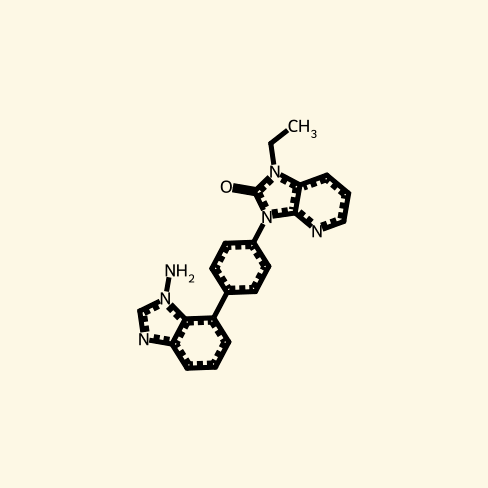 CCn1c(=O)n(-c2ccc(-c3cccc4ncn(N)c34)cc2)c2ncccc21